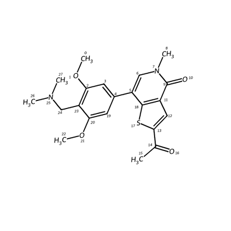 COc1cc(-c2cn(C)c(=O)c3cc(C(C)=O)sc23)cc(OC)c1CN(C)C